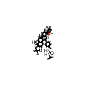 CC(C)NC(=O)NCc1ccc([C@H]2C[C@@]3(C)[C@@H](CC[C@@]3(O)C(F)(F)C(F)(F)F)[C@@H]3CC[C@@]4(O)CC5(CCC4=C32)OCC(C)(C)CO5)cc1